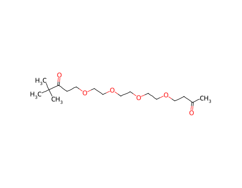 CC(=O)CCOCCOCCOCCOCCC(=O)C(C)(C)C